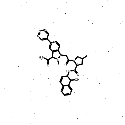 CN1C(C(N)=O)c2cc(-c3ccnnc3)ccc2N1CC(=O)N1CC(F)CC1C(=O)NC1C=Cc2ccccc2C1O